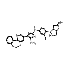 CCCN1CC2CNC(c3ccc(Nc4nc(N)n(-c5cc6c(nn5)-c5ccccc5CCC6)n4)cc3F)C2C1